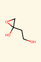 OCCC1(O)CO1